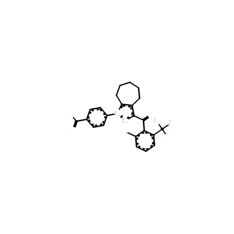 O=C(O)c1ccc(-n2nc(C(=O)c3c(Cl)cccc3C(F)(F)F)c3c2CCCCC3)cc1